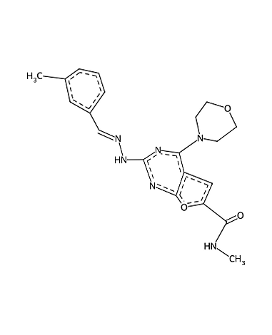 CNC(=O)c1cc2c(N3CCOCC3)nc(N/N=C/c3cccc(C)c3)nc2o1